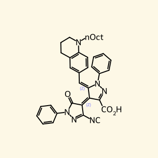 [C-]#[N+]C1=NN(c2ccccc2)C(=O)/C1=c1/c(C(=O)O)nn(-c2ccccc2)/c1=C\c1ccc2c(c1)CCCN2CCCCCCCC